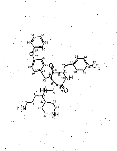 NCCCC(NC[C@H]1C(=O)N[C@@H](Cc2ccc(C(F)(F)F)cc2)C(=O)N1Cc1ccc(Oc2ccccc2)cc1)C1CCNCC1